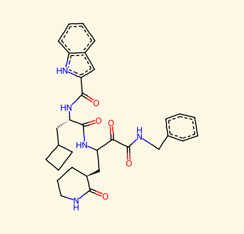 O=C(NCc1ccccc1)C(=O)C(C[C@@H]1CCCNC1=O)NC(=O)[C@H](CC1CCC1)NC(=O)c1cc2ccccc2[nH]1